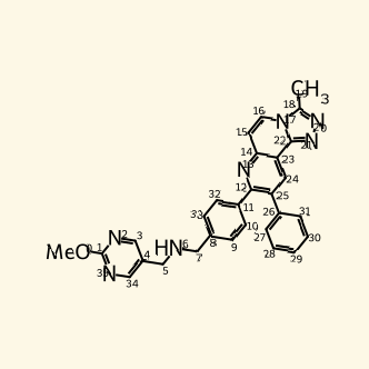 COc1ncc(CNCc2ccc(-c3nc4ccn5c(C)nnc5c4cc3-c3ccccc3)cc2)cn1